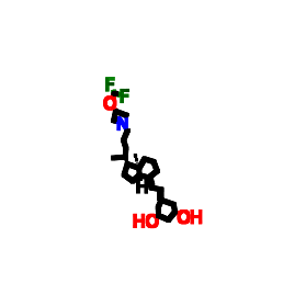 CC(CCCN1CC(OC(F)F)C1)[C@H]1CC[C@H]2/C(=C/C=C3C[C@@H](O)C[C@H](O)C3)CCC[C@]12C